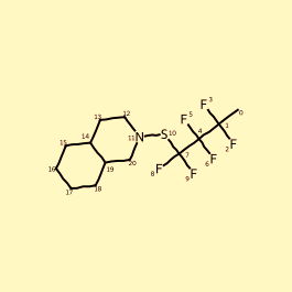 CC(F)(F)C(F)(F)C(F)(F)SN1CCC2CCCCC2C1